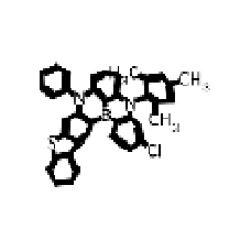 Cc1cc(C)c(N2c3cc(Cl)ccc3B3c4cc5c(cc4N(c4ccccc4)c4cccc2c43)sc2ccccc25)c(C)c1